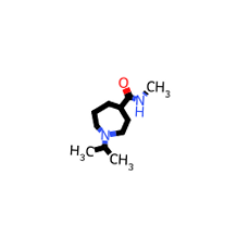 CNC(=O)C1CCCN(C(C)C)CC1